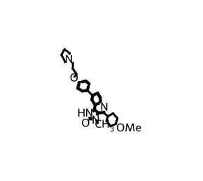 COC1CCC(c2nc3ccc(-c4ccc(OCCCN5CCCC5)cc4)cc3c3[nH]c(=O)n(C)c23)CC1